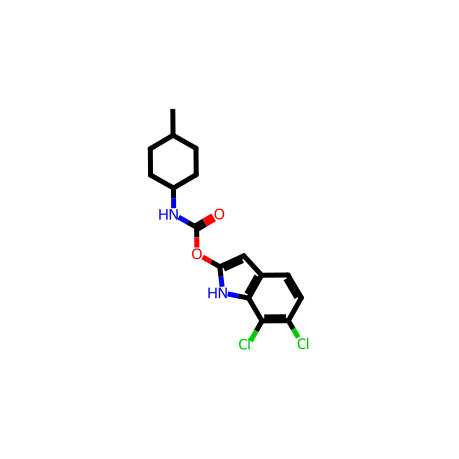 CC1CCC(NC(=O)Oc2cc3ccc(Cl)c(Cl)c3[nH]2)CC1